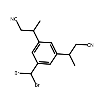 CC(CC#N)c1cc(C(Br)Br)cc(C(C)CC#N)c1